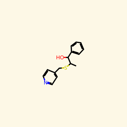 CC(SCc1ccncc1)C(O)c1ccccc1